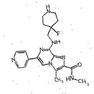 CNC(=O)c1nc2c(NCC3(F)CCNCC3)nc(-c3ccncc3)cn2c1C